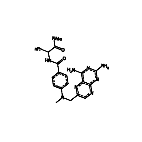 CCCC(NC(=O)c1ccc(N(C)Cc2cnc3nc(N)nc(N)c3n2)cc1)C(=O)NC